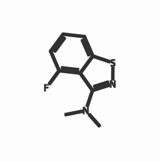 CN(C)c1nsc2cccc(F)c12